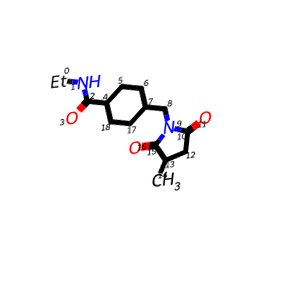 CCNC(=O)C1CCC(CN2C(=O)CC(C)C2=O)CC1